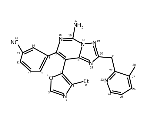 CCc1ncoc1-c1c(-c2cccc(C#N)c2)nc(N)n2nc(Cc3ncccc3C)nc12